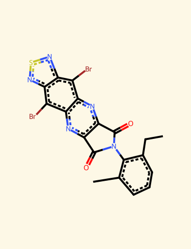 CCc1cccc(C)c1N1C(=O)c2nc3c(Br)c4nsnc4c(Br)c3nc2C1=O